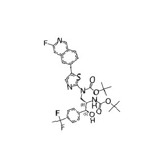 CC(C)(C)OC(=O)N[C@H](CN(C(=O)OC(C)(C)C)c1ncc(-c2ccc3cnc(F)cc3c2)s1)[C@@H](O)c1ccc(C(C)(F)F)cc1